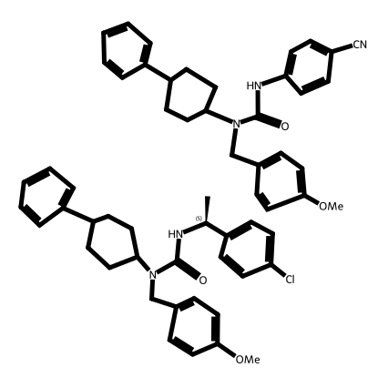 COc1ccc(CN(C(=O)N[C@@H](C)c2ccc(Cl)cc2)C2CCC(c3ccccc3)CC2)cc1.COc1ccc(CN(C(=O)Nc2ccc(C#N)cc2)C2CCC(c3ccccc3)CC2)cc1